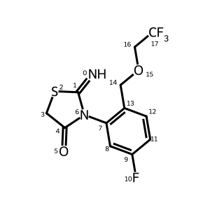 N=C1SCC(=O)N1c1cc(F)ccc1COCC(F)(F)F